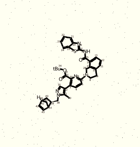 Cc1c(-c2ccc(N3CCc4cccc(C(=O)Nc5nc6ccccc6s5)c4C3)nc2C(=O)OC(C)(C)C)cnn1C[C@@H]1C[C@@H]2C=CC1C2